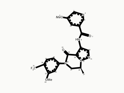 COc1cncc(C(=O)Nc2cnn3c2C(=O)N(c2ccc(C(F)(F)F)c(OC)c2)C[C@@H]3C)c1